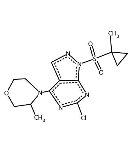 CC1COCCN1c1nc(Cl)nc2c1cnn2S(=O)(=O)C1(C)CC1